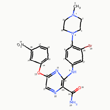 CN1CCN(c2ccc(Nc3nc(Oc4cccc([N+](=O)[O-])c4)cnc3C(N)=O)cc2Br)CC1